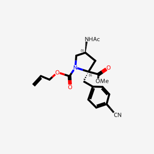 C=CCOC(=O)N1C[C@@H](NC(C)=O)C[C@@]1(Cc1ccc(C#N)cc1)C(=O)OC